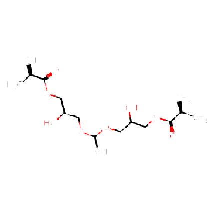 C=C(C)C(=O)OCC(O)COC(C)OCC(O)COC(=O)C(=C)C